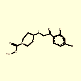 CC(C)(C)OC(=O)N1CCC(NCC(=O)c2ccc(Br)cc2F)CC1